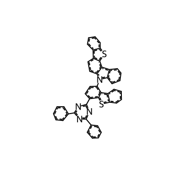 c1ccc(-c2nc(-c3ccccc3)nc(-c3ccc(-n4c5ccccc5c5c6sc7ccccc7c6ccc54)c4c3sc3ccccc34)n2)cc1